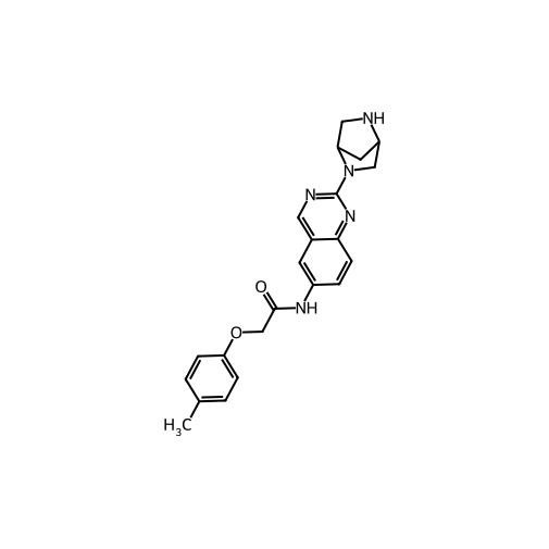 Cc1ccc(OCC(=O)Nc2ccc3nc(N4CC5CC4CN5)ncc3c2)cc1